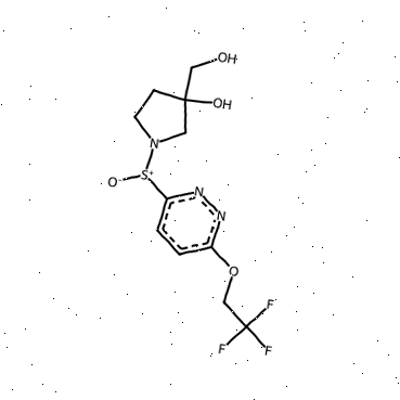 [O-][S+](c1ccc(OCC(F)(F)F)nn1)N1CCC(O)(CO)C1